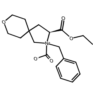 CCOC(=O)[C@@H]1CC2(CCOCC2)C[N+]1(Cc1ccccc1)C(=O)[O-]